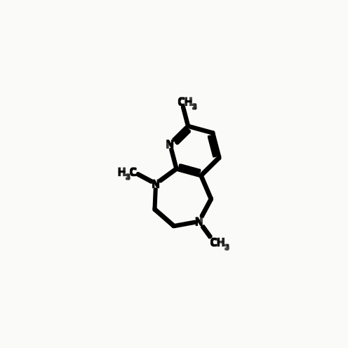 Cc1ccc2c(n1)N(C)CCN(C)C2